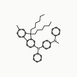 CCCCCCC1(CCCCCC)c2cc(C)ccc2-c2ccc(N(c3ccccc3)c3ccc(N(C)c4ccccc4)cc3)cc21